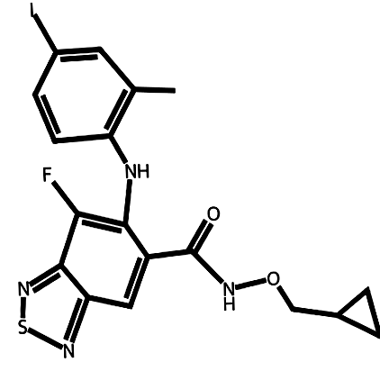 Cc1cc(I)ccc1Nc1c(C(=O)NOCC2CC2)cc2nsnc2c1F